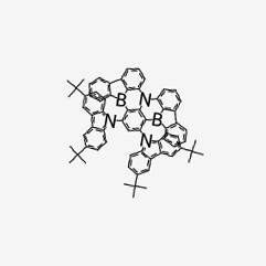 CC(C)(C)c1ccc2c(c1)c1cc(C(C)(C)C)ccc1n2-c1cc(-n2c3ccc(C(C)(C)C)cc3c3cc(C(C)(C)C)ccc32)c2c3c1B1c4ccccc4-c4cccc(c41)N3c1cccc3c1B2c1ccccc1-3